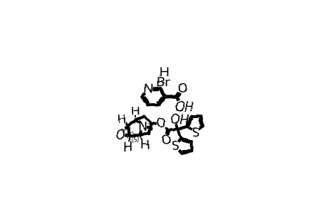 Br.C[N+]1(C)[C@@H]2CC(OC(=O)C(O)(c3cccs3)c3cccs3)C[C@H]1[C@@H]1O[C@@H]12.O=C(O)c1cccnc1